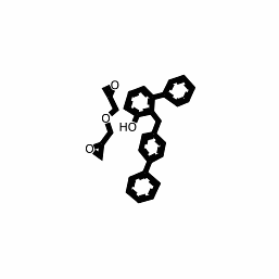 C(OCC1CO1)C1CO1.Oc1cccc(-c2ccccc2)c1Cc1ccc(-c2ccccc2)cc1